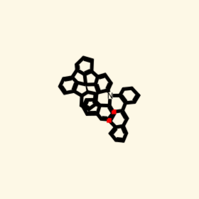 C1=CC2c3cccc4c3[C@]3(c5cc(N(C6=C(c7ccc8ccccc8c7)C=CCC6)c6cccc7ccccc67)ccc5-c5cccc-4c53)C2C=C1